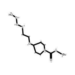 CC(C)(C)OC(=O)N1CCC(OCCSOOO)CC1